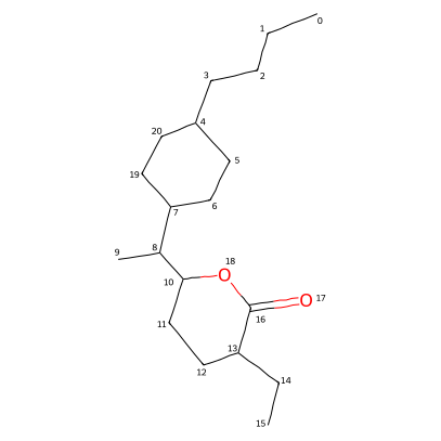 CCCCC1CCC(C(C)C2CCC(CC)C(=O)O2)CC1